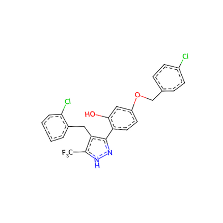 Oc1cc(OCc2ccc(Cl)cc2)ccc1-c1n[nH]c(C(F)(F)F)c1Cc1ccccc1Cl